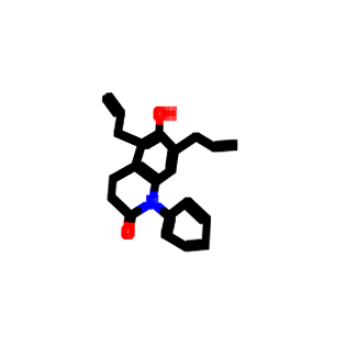 C=CCc1cc2c(c(CC=C)c1O)CCC(=O)N2c1ccccc1